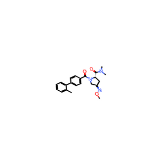 CON=C1C[C@@H](C(=O)N(C)C)N(C(=O)c2ccc(-c3ccccc3C)cc2)C1